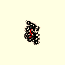 C1=C(C2CCCC2)[CH]([Ti+2]2([CH]3C(C4CCCC4)=Cc4c(-c5c6ccccc6cc6ccccc56)cccc43)[CH2]C[CH2]2)c2cccc(-c3c4ccccc4cc4ccccc34)c21.[Cl-].[Cl-]